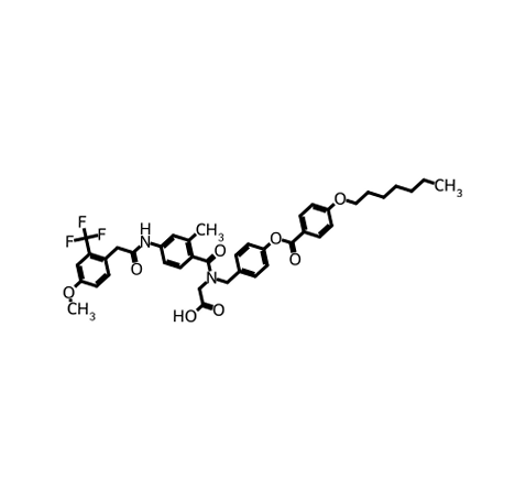 CCCCCCCOc1ccc(C(=O)Oc2ccc(CN(CC(=O)O)C(=O)c3ccc(NC(=O)Cc4ccc(OC)cc4C(F)(F)F)cc3C)cc2)cc1